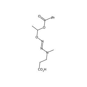 CC(ON=NN(C)CCC(=O)O)OC(=O)C(C)C